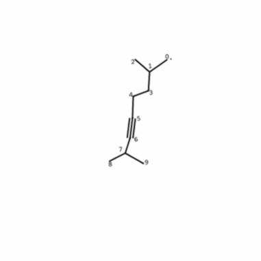 [CH2]C(C)CCC#CC(C)C